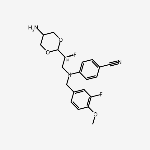 COc1ccc(CN(C[C@H](F)C2OCC(N)CO2)c2ccc(C#N)cc2)cc1F